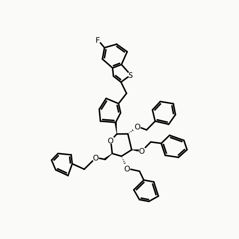 Fc1ccc2sc(Cc3cccc([C@@H]4O[C@H](COCc5ccccc5)[C@@H](OCc5ccccc5)[C@H](OCc5ccccc5)[C@H]4OCc4ccccc4)c3)cc2c1